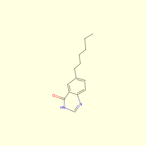 CCCCCCc1ccc2nc[nH]c(=O)c2c1